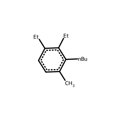 CCCCc1c(C)ccc(CC)c1CC